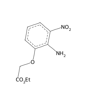 CCOC(=O)COc1cccc([N+](=O)[O-])c1N